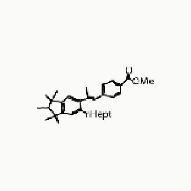 CCCCCCCc1cc2c(cc1C(C)=Cc1ccc(C(=O)OC)cc1)C(C)(C)C(C)C2(C)C